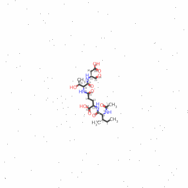 CC[C@H](C)[C@H](NC(C)=O)C(=O)NC(CCC(=O)N[C@H](C(=O)N[C@H](C=O)CC(=O)O)[C@H](C)O)C(=O)O